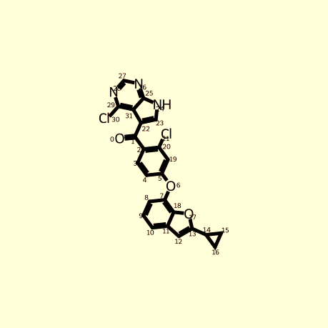 O=C(c1ccc(Oc2cccc3cc(C4CC4)oc23)cc1Cl)c1c[nH]c2ncnc(Cl)c12